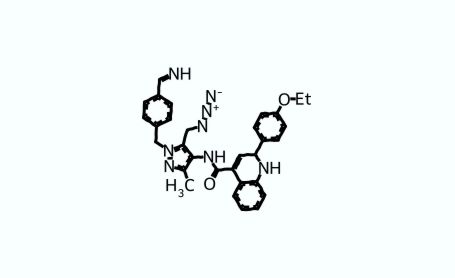 CCOc1ccc(C2C=C(C(=O)Nc3c(C)nn(Cc4ccc(C=N)cc4)c3CN=[N+]=[N-])c3ccccc3N2)cc1